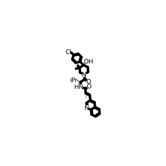 CC(C)[C@@H](NC(=O)/C=C/c1cnc2ccccc2c1)C(=O)N1CC[C@](O)(c2ccc(Cl)cc2)C(C)(C)C1